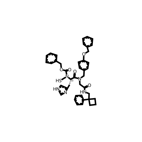 O=C(CN(Cc1ccc(OCc2ccccc2)cc1)C(=O)[C@H](Cc1c[nH]cn1)N(S)C(=O)OCc1ccccc1)NCC1(c2ccccc2)CCC1